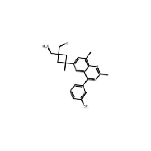 Cc1nc(-c2cccc(C(F)(F)F)c2)c2cc(C3(C)CC(CN)(CCl)C3)cc(C)c2n1